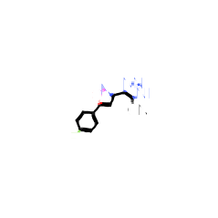 N#Cc1[nH]nnc1-c1cc(-c2ccc(F)cc2)on1